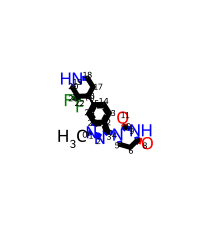 Cn1nc(N2CCC(=O)NC2=O)c2ccc([C@@H]3CCNCC3(F)F)cc21